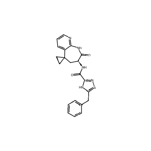 O=C(N[C@H]1CC2(CC2)c2cccnc2NC1=O)c1nnc(Cc2ccccc2)[nH]1